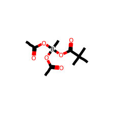 CC(=O)O[B-](C)(OC(C)=O)OC(=O)C(C)(C)C